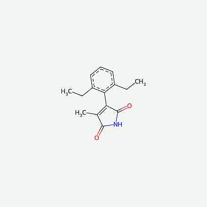 CCc1cccc(CC)c1C1=C(C)C(=O)NC1=O